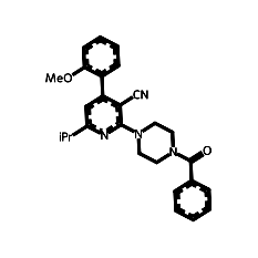 COc1ccccc1-c1cc(C(C)C)nc(N2CCN(C(=O)c3ccccc3)CC2)c1C#N